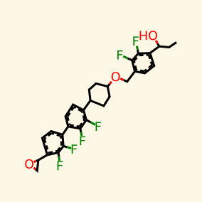 CCC(O)c1ccc(COC2CCC(c3ccc(-c4ccc(C5CO5)c(F)c4F)c(F)c3F)CC2)c(F)c1F